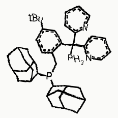 CC(C)(C)c1ccc(CP(C2C3CC4CC(C3)CC2C4)C2C3CC4CC(C3)CC2C4)c(C(P)(c2ccccn2)c2ccccn2)c1